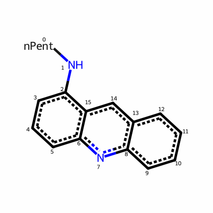 CCCCCNc1cccc2nc3ccccc3cc12